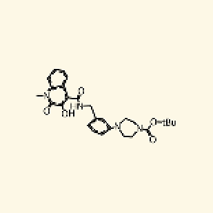 Cn1c(=O)c(O)c(C(=O)NCc2cccc(N3CCN(C(=O)OC(C)(C)C)CC3)c2)c2ccccc21